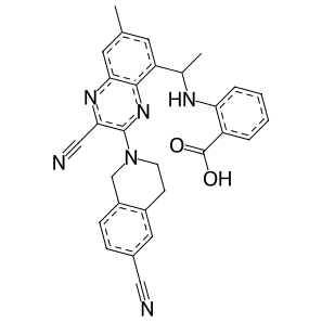 Cc1cc(C(C)Nc2ccccc2C(=O)O)c2nc(N3CCc4cc(C#N)ccc4C3)c(C#N)nc2c1